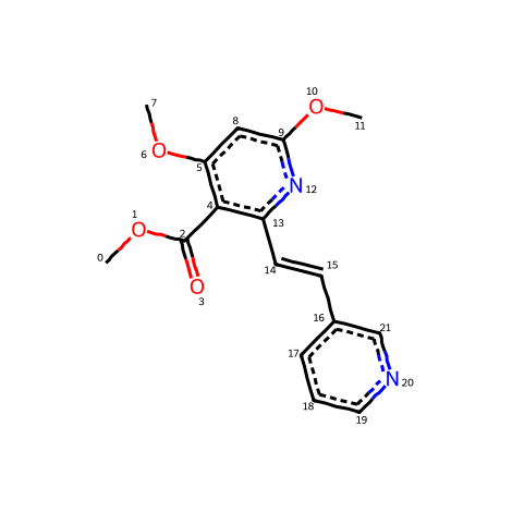 COC(=O)c1c(OC)cc(OC)nc1/C=C/c1cccnc1